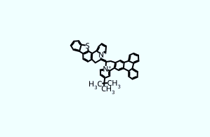 CC(C)(C)c1cc[n+]2c(c1)-c1cc3c4ccccc4c4ccccc4c3cc1C/C2=C1/Cc2ccc3c(sc4ccccc43)c2-c2cccc[n+]21